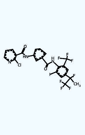 CC(F)(c1cc(I)c(NC(=O)c2cccc(NC(=O)c3cccnc3Cl)c2)c(C(F)(F)F)c1)C(F)(F)F